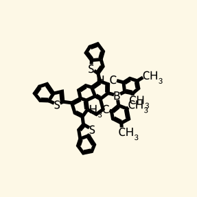 Cc1cc(C)c(B(c2cc(-c3cc4ccccc4s3)c3ccc4c(-c5cc6ccccc6s5)cc(-c5cc6ccccc6s5)c5c4c3c2CC5)c2c(C)cc(C)cc2C)c(C)c1